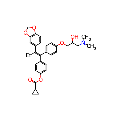 CC/C(=C(/c1ccc(OCC(O)CN(C)C)cc1)c1ccc(OC(=O)C2CC2)cc1)c1ccc2c(c1)OCO2